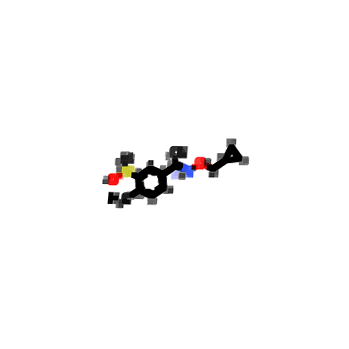 CC[S+]([O-])c1cc(/C(C#N)=N/OCC2CC2)ccc1C